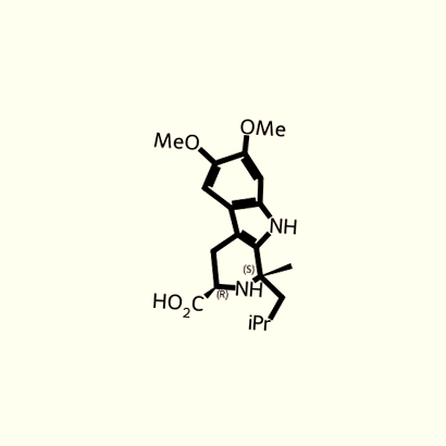 COc1cc2[nH]c3c(c2cc1OC)C[C@H](C(=O)O)N[C@@]3(C)CC(C)C